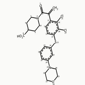 C=C(C(=O)N1CCC(C(=O)O)CC1)c1ccc(Sc2cccc(N3CCOCC3)c2)c(Cl)c1Cl